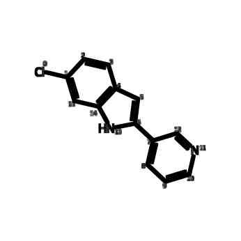 Clc1ccc2cc(-c3cccnc3)[nH]c2c1